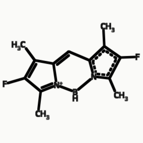 CC1=C(F)C(C)=[N+]2Bn3c(C)c(F)c(C)c3C=C12